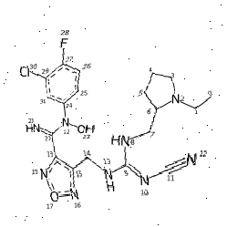 CCN1CCCC1CN/C(=N\C#N)NCc1nonc1C(=N)N(O)c1ccc(F)c(Cl)c1